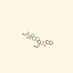 COc1cc2c(cc1OS(=O)(=O)c1ccc3ccccc3c1)CCC1C2CCC2(C)C(OC(C)=O)CCC12